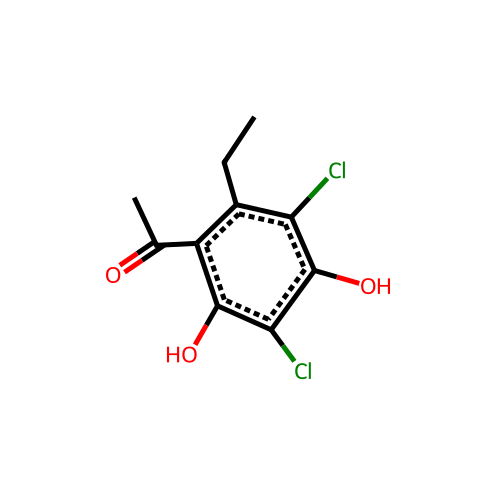 CCc1c(Cl)c(O)c(Cl)c(O)c1C(C)=O